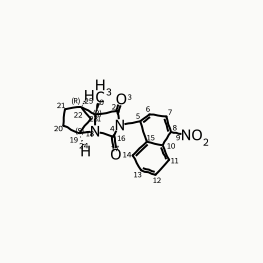 C[C@@]12C(=O)N(c3ccc([N+](=O)[O-])c4ccccc34)C(=O)N1[C@H]1CC[C@@H]2C1